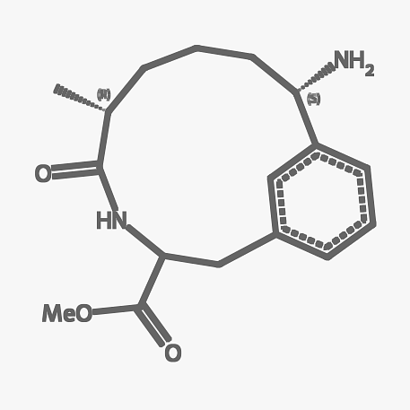 COC(=O)C1Cc2cccc(c2)[C@@H](N)CCC[C@@H](C)C(=O)N1